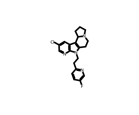 Fc1ccc(CCn2c3c(c4cc(Cl)cnc42)C2CCCN2CC3)nc1